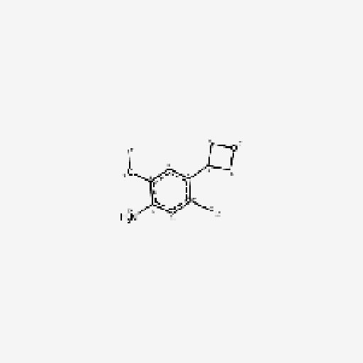 COc1cc(C2COC2)c(F)cc1N